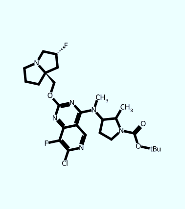 CC1C(N(C)c2nc(OC[C@@]34CCCN3C[C@H](F)C4)nc3c(F)c(Cl)ncc23)CCN1C(=O)OC(C)(C)C